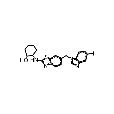 O[C@@H]1CCCC[C@H]1Nc1nc2ccc(Cn3cnc4cc(I)ccc43)cc2s1